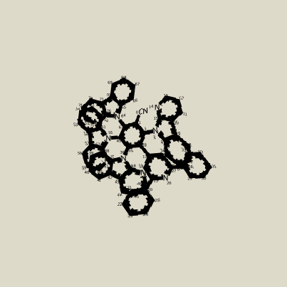 N#Cc1c(-n2c3ccccc3c3cccnc32)c(-c2cc(-c3ccccc3)nc(-c3ccccc3)c2)c(-n2c3ccccc3c3cccnc32)c(-n2c3ccccc3c3cccnc32)c1-n1c2ccccc2c2cccnc21